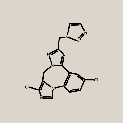 Clc1ccc2c(c1)-c1nc(Cn3ccnn3)nn1Cc1c(Cl)ncn1-2